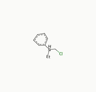 CC[SiH](CCl)c1ccccc1